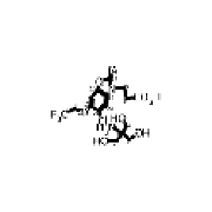 NC(CO)(CO)CO.O=C(O)CCn1c(=O)oc2cc(OCC(F)(F)F)c(Cl)cc21